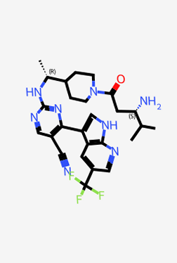 CC(C)[C@@H](N)CC(=O)N1CCC([C@@H](C)Nc2ncc(C#N)c(-c3c[nH]c4ncc(C(F)(F)F)cc34)n2)CC1